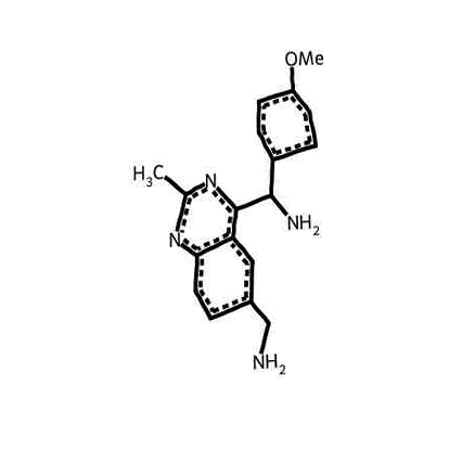 COc1ccc(C(N)c2nc(C)nc3ccc(CN)cc23)cc1